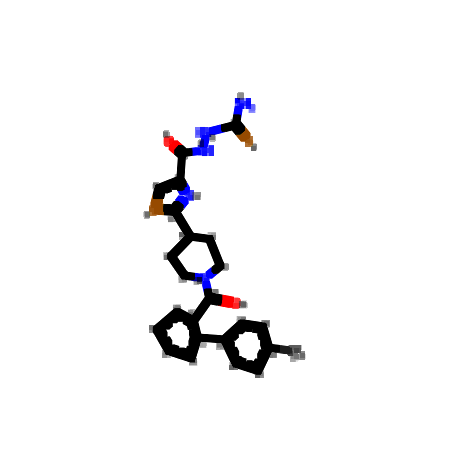 NC(=S)NNC(=O)c1csc(C2CCN(C(=O)c3ccccc3-c3ccc(C(F)(F)F)cc3)CC2)n1